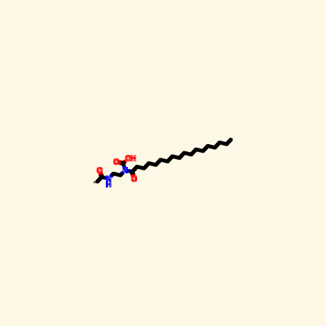 [CH2]C(=O)NCCN(C(=O)O)C(=O)CCCCCCCCCCCCCCCCC